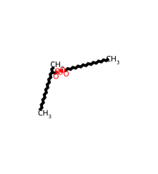 C=CCC(CCCCCCCCCCCCCCCC)C(=O)OOOC(=O)CCCCCCCCCCCCCCCCC